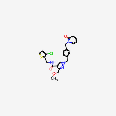 COCc1nn(Cc2ccc(Cn3ccccc3=O)cc2)cc1C(=O)NCc1sccc1Cl